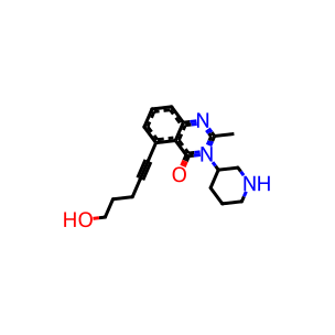 Cc1nc2cccc(C#CCCCO)c2c(=O)n1C1CCCNC1